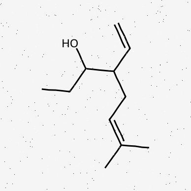 C=CC(CC=C(C)C)C(O)CC